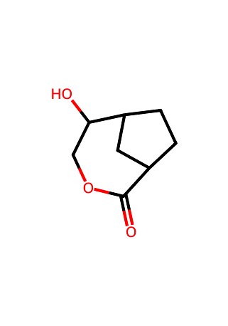 O=C1OCC(O)C2CCC1C2